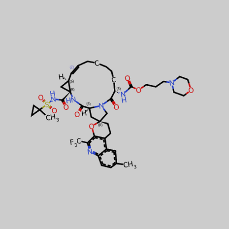 Cc1ccc2nc(C(F)(F)F)c3c(c2c1)CC[C@]1(C[C@H]2C(=O)N[C@]4(C(=O)NS(=O)(=O)C5(C)CC5)C[C@H]4/C=C\CCCCC[C@H](NC(=O)OCCCN4CCOCC4)C(=O)N2C1)O3